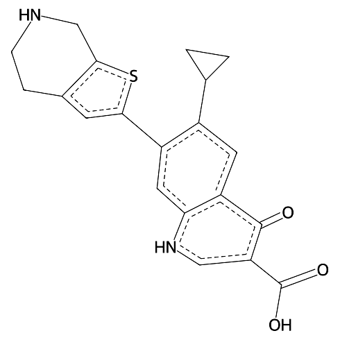 O=C(O)c1c[nH]c2cc(-c3cc4c(s3)CNCC4)c(C3CC3)cc2c1=O